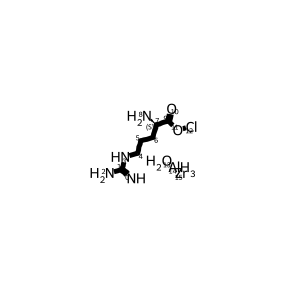 N=C(N)NCCC[C@H](N)C(=O)OCl.O.[AlH3].[Zr]